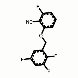 N#Cc1c(F)cccc1OCc1cc(F)cc(F)c1F